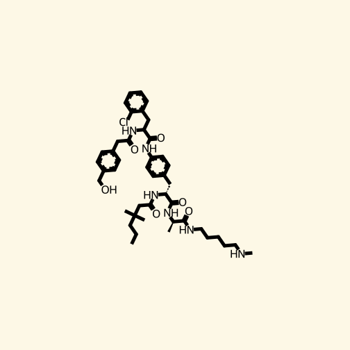 CCCC(C)(C)CC(=O)N[C@H](Cc1ccc(NC(=O)C(Cc2ccccc2Cl)NC(=O)Cc2ccc(CO)cc2)cc1)C(=O)N[C@H](C)C(=O)NCCCCCNC